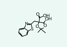 CC(C)(C)OC(Cc1nc2ccccc2s1)(C(=O)O)C(=O)O